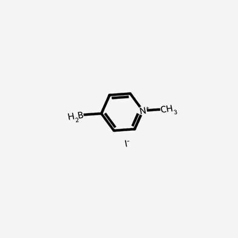 Bc1cc[n+](C)cc1.[I-]